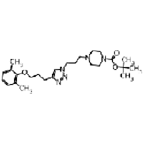 Cc1cccc(C)c1OCCCc1cn(CCCN2CCN(C(=O)OC(C)(C)C)CC2)nn1